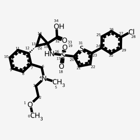 COCCN(C)Cc1ccccc1[C@@H]1CC1(NS(=O)(=O)c1ccc(-c2ccc(Cl)cc2)s1)C(=O)O